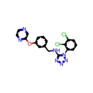 Clc1cccc(-n2nnnc2NCc2cccc(Oc3cnccn3)c2)c1Cl